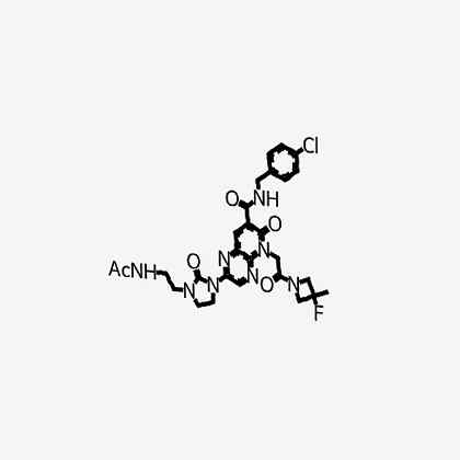 CC(=O)NCCN1CCN(c2cnc3c(cc(C(=O)NCc4ccc(Cl)cc4)c(=O)n3CC(=O)N3CC(C)(F)C3)n2)C1=O